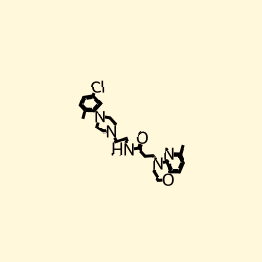 Cc1ccc2c(n1)N(CCC(=O)NCCN1CCN(c3cc(Cl)ccc3C)CC1)CCO2